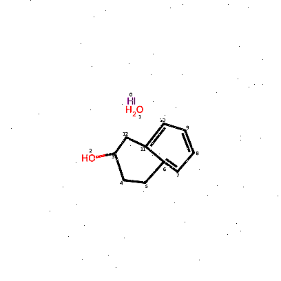 I.O.OC1CCc2ccccc2C1